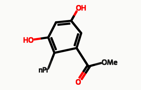 CCCc1c(O)cc(O)cc1C(=O)OC